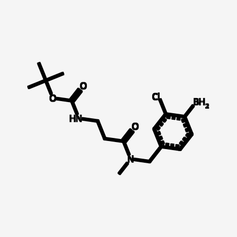 Bc1ccc(CN(C)C(=O)CCNC(=O)OC(C)(C)C)cc1Cl